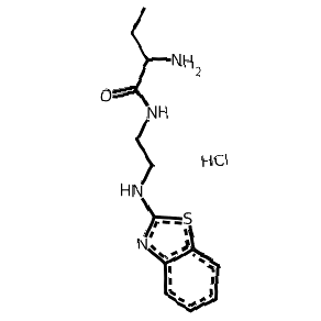 CCC(N)C(=O)NCCNc1nc2ccccc2s1.Cl